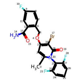 Cc1cc(OCc2ccc(F)cc2C(N)=O)c(Br)c(=O)n1-c1c(F)cccc1F